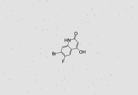 O=c1cc(O)c2cc(F)c(Br)cc2[nH]1